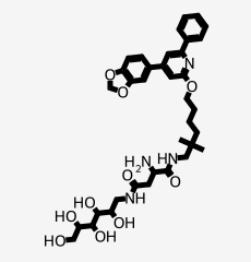 CC(C)(CCCCOc1cc(-c2ccc3c(c2)OCO3)cc(-c2ccccc2)n1)CNC(=O)C(N)CC(=O)NCC(O)C(O)C(O)C(O)CO